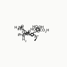 C#CC[N+](C)(C)Cc1ccc(NC(=O)[C@H](CCCNC(N)=O)NC(=O)[C@@H](N)C(C)C)cc1CC[C@@H]1O[C@H](C(=O)O)[C@@H](O)[C@H](O)[C@H]1O